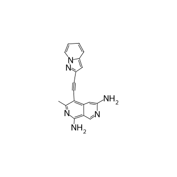 Cc1nc(N)c2cnc(N)cc2c1C#Cc1cc2ccccn2n1